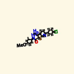 COc1ccc(NC(=O)c2sc3nc(-c4ccc(Cl)cc4)ccc3c2N)cc1